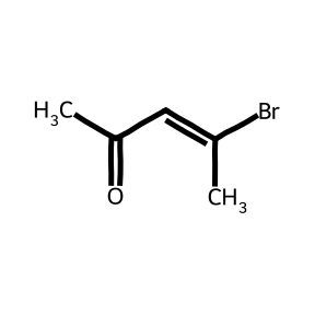 CC(=O)/C=C(\C)Br